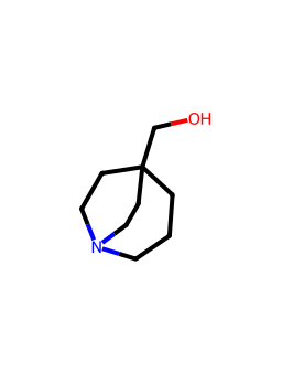 OCC12CCCN(CC1)CC2